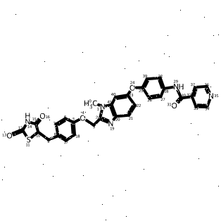 Cn1c(COc2ccc(CC3SC(=O)NC3=O)cc2)nc2ccc(Oc3ccc(NC(=O)c4ccncc4)cc3)cc21